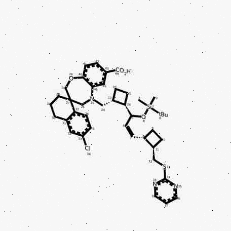 CC(C)(C)[Si](C)(C)OC(/C=C\[C@@H]1CC[C@H]1CSc1ncccn1)[C@@H]1CC[C@H]1CN1CC2(CCCc3cc(Cl)ccc32)COc2ccc(C(=O)O)cc21